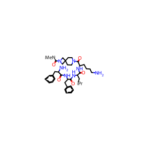 CNC(=O)N1CC2(CCN(C(=O)C(CCCCN)NC(=O)C(CC(C)C)NC(=O)C(Cc3ccccc3)NC(=O)C(N)Cc3ccccc3)CC2)C1